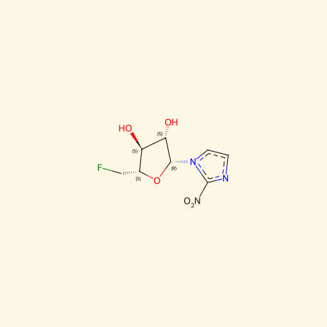 O=[N+]([O-])c1nccn1[C@@H]1O[C@H](CF)[C@@H](O)[C@@H]1O